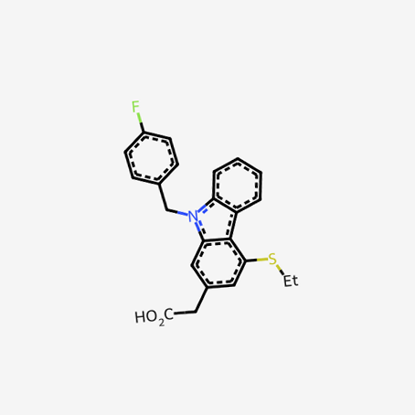 CCSc1cc(CC(=O)O)cc2c1c1ccccc1n2Cc1ccc(F)cc1